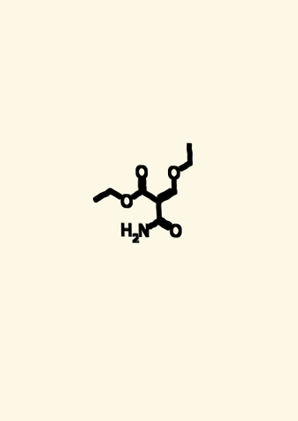 CCOC=C(C(N)=O)C(=O)OCC